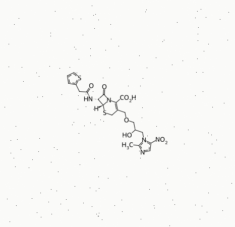 Cc1ncc([N+](=O)[O-])n1CC(O)COCC1=C(C(=O)O)N2C(=O)[C@@H](NC(=O)Cc3cccs3)[C@H]2SC1